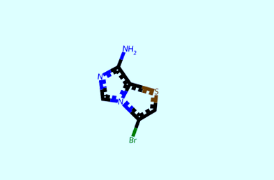 Nc1ncn2c(Br)csc12